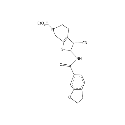 CCOC(=O)N1CCC2=C(C1)SC(NC(=O)c1ccc3c(c1)OCC3)C2C#N